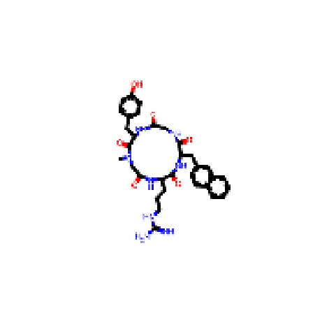 CN1CC(=O)NC(CCCNC(=N)N)C(=O)NC(Cc2ccc3ccccc3c2)C(=O)NCC(=O)NC(Cc2ccc(O)cc2)C1=O